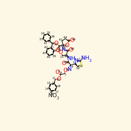 Nc1nc(C(=NOCC(=O)OCc2ccc([N+](=O)[O-])cc2)C(=O)N[C@H]2CON(C3(C(=O)OC(c4ccccc4)c4ccccc4)CCC(=O)O3)C2=O)cs1